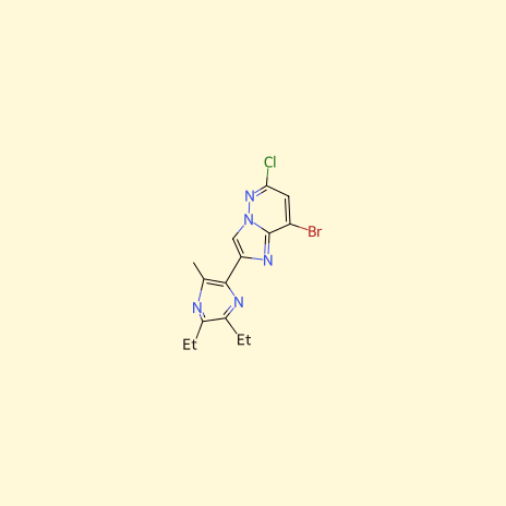 CCc1nc(C)c(-c2cn3nc(Cl)cc(Br)c3n2)nc1CC